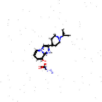 CC(C)N1CCC(c2cn3cccc(OC(N)=O)c3n2)CC1